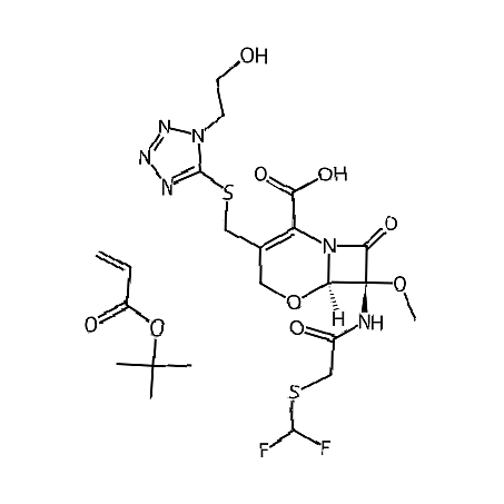 C=CC(=O)OC(C)(C)C.CO[C@@]1(NC(=O)CSC(F)F)C(=O)N2C(C(=O)O)=C(CSc3nnnn3CCO)CO[C@@H]21